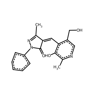 CC1=NN(c2ccccc2)C(=O)/C1=C\c1c(CO)cnc(C)c1O